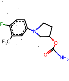 NC(=O)O[C@@H]1CCN(c2ccc(F)c(C(F)(F)F)c2)C1